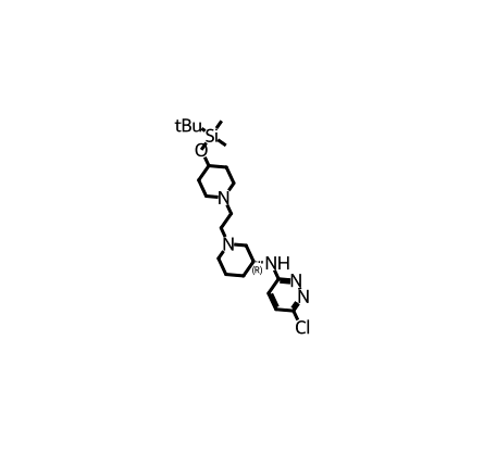 CC(C)(C)[Si](C)(C)OC1CCN(CCN2CCC[C@@H](Nc3ccc(Cl)nn3)C2)CC1